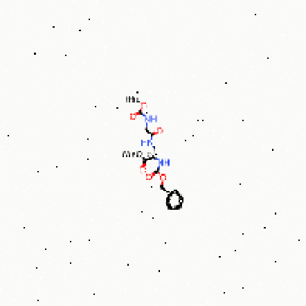 COC(=O)[C@H](CNC(=O)CNC(=O)OC(C)(C)C)NC(=O)OCc1ccccc1